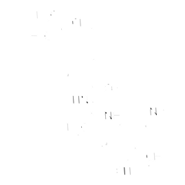 C=C(NC(=O)c1ccc(C(C)(C)C)cc1)NC1=C(C#N)C(C)=C(C)C1